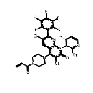 C=CC(=O)N1CCN(c2c(C#N)c(=O)n(C3C(C(C)C)=NC=C[C@H]3C)c3nc(-c4c(F)c(F)c(F)c(F)c4F)c(Cl)cc23)CC1